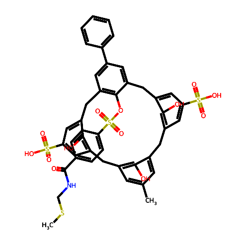 CSCNC(=O)c1ccc(S(=O)(=O)Oc2c3cc(-c4ccccc4)cc2Cc2cc(S(=O)(=O)O)cc(c2O)Cc2cc(C)cc(c2O)Cc2cc(S(=O)(=O)O)cc(c2O)C3)cc1